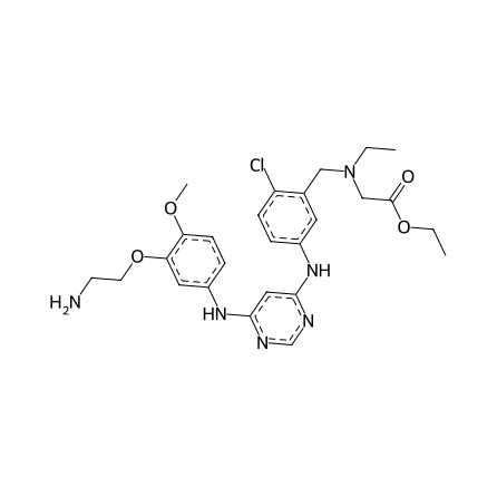 CCOC(=O)CN(CC)Cc1cc(Nc2cc(Nc3ccc(OC)c(OCCN)c3)ncn2)ccc1Cl